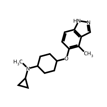 Cc1c(OC2CCC(N(C)C3CC3)CC2)ccc2[nH]ncc12